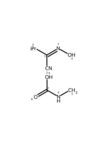 CC(C)C(C#N)=NO.CNC(=O)O